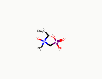 CCC[N+]([O-])(CC(=O)OCC)CP(=O)(O)O